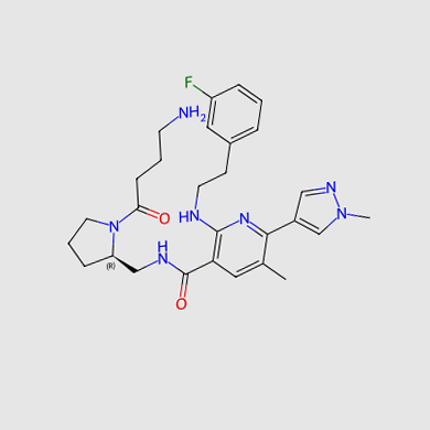 Cc1cc(C(=O)NC[C@H]2CCCN2C(=O)CCCN)c(NCCc2cccc(F)c2)nc1-c1cnn(C)c1